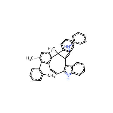 Cc1ccccc1-c1c(C)ccc2c1/C=C\c1[nH]c3ccccc3c1/C(=C/Nc1ccccc1)C2(C)c1ccccc1